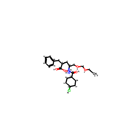 CCOCOCC(CC(Cc1ccccc1)C(=O)O)NC(=O)C1CCC(Cl)CC1